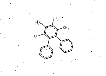 Cc1c(C)c(C)c(-c2ccccc2)c(-c2ccccc2)c1C